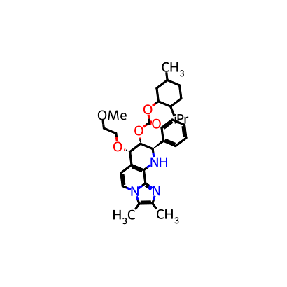 COCCO[C@H]1c2ccn3c(C)c(C)nc3c2N[C@H](c2ccccc2)[C@H]1OC(=O)OC1CC(C)CCC1C(C)C